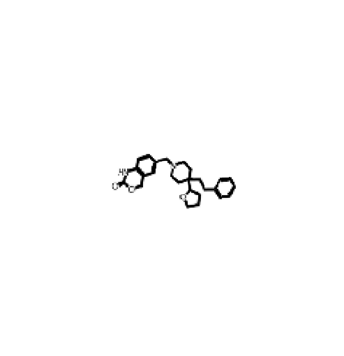 O=C1Nc2ccc(CN3CCC(CCc4ccccc4)(C4CCCO4)CC3)cc2CO1